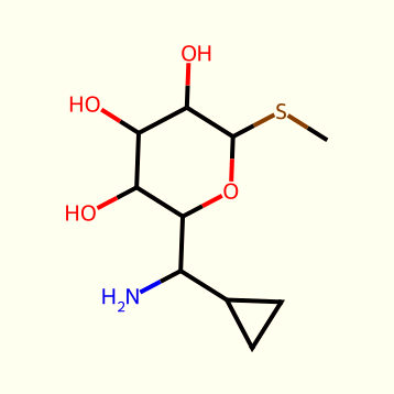 CSC1OC(C(N)C2CC2)C(O)C(O)C1O